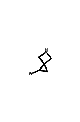 CC(C)C1CC12CNC2